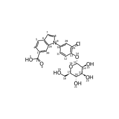 O=C(O)c1ccc2ccn(-c3ccc(O[C@H]4O[C@H](CO)[C@@H](O)[C@H](O)[C@@H]4O)c(Cl)c3)c2c1